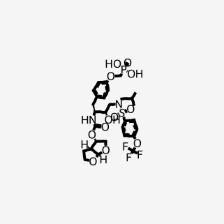 CC(C)CN(C[C@@H](O)[C@H](Cc1ccc(OCP(=O)(O)O)cc1)NC(=O)O[C@H]1CO[C@H]2OCC[C@H]21)S(=O)(=O)c1ccc(OC(F)(F)F)cc1